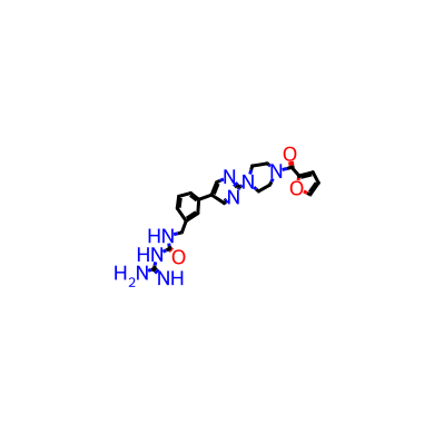 N=C(N)NC(=O)NCc1cccc(-c2cnc(N3CCN(C(=O)c4ccco4)CC3)nc2)c1